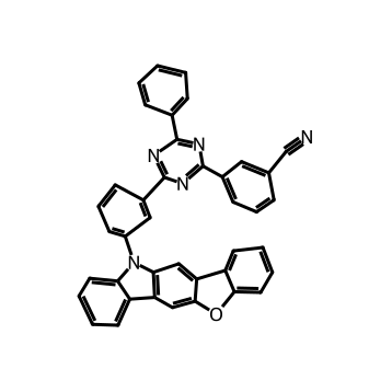 N#Cc1cccc(-c2nc(-c3ccccc3)nc(-c3cccc(-n4c5ccccc5c5cc6oc7ccccc7c6cc54)c3)n2)c1